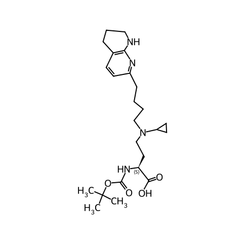 CC(C)(C)OC(=O)N[C@@H](CCN(CCCCc1ccc2c(n1)NCCC2)C1CC1)C(=O)O